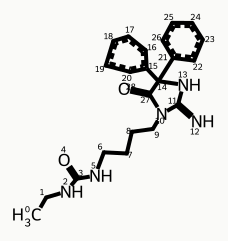 CCNC(=O)NCCCCN1C(=N)NC(c2ccccc2)(c2ccccc2)C1=O